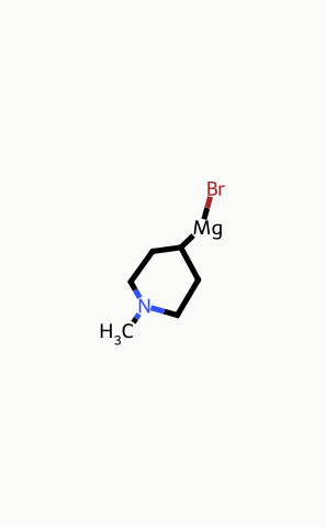 CN1CC[CH]([Mg][Br])CC1